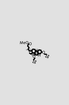 COC(=O)CC[C@@H](C)[C@H]1CC[C@H]2[C@@H]3[C@H](OCC[Si](C)(C)C)C[C@@H]4C[C@H](OCC[Si](C)(C)C)CC[C@]4(C)[C@H]3CC[C@]12C